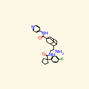 N[C@H](CNC(=O)C1(c2ccc(F)cc2)CCCC1)C1C2CC3CC1CC(C(=O)Nc1ccncc1)(C3)C2